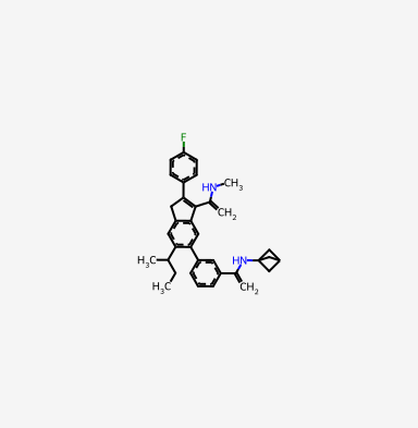 C=C(NC)C1=C(c2ccc(F)cc2)Cc2cc(C(C)CC)c(-c3cccc(C(=C)NC45CC(C4)C5)c3)cc21